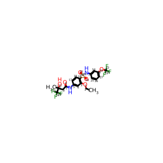 CCOc1cc(NC(=O)CC(C)(O)C(F)(F)F)ccc1S(=O)(=O)Nc1cccc(OC(F)(F)F)c1